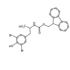 O=C(NC(Cc1cc(Br)c(O)c(Br)c1)C(=O)O)OCC1c2ccccc2-c2ccccc21